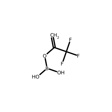 C=C(OB(O)O)C(F)(F)F